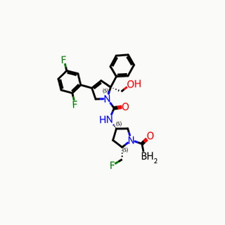 BC(=O)N1C[C@@H](NC(=O)N2CC(c3cc(F)ccc3F)=C[C@@]2(CO)c2ccccc2)C[C@H]1CF